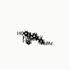 CCc1cc(O)ccc1/N=C(\N)c1cnn2cc(-c3cnc(OC)cc3C)cc2c1NC[C@@H]1CCCN1